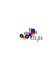 CCOC(=O)c1sc(N2C[C@H]3CC[C@@H](C2)N3C(=O)OC(C)(C)C)nc1-c1ccc(Oc2ccccc2)cc1